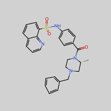 C[C@@H]1CN(Cc2ccccc2)CCN1C(=O)c1ccc(NS(=O)(=O)c2cccc3cccnc23)cc1